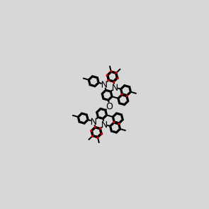 Cc1ccc(N(c2ccc(C)cc2)c2ccc(Oc3ccc(N(c4ccc(C)cc4)c4ccc(C)cc4)c(N(c4ccc(C)cc4)c4ccc(C)cc4)c3-c3ccccc3)c(-c3ccccc3)c2N(c2ccc(C)cc2)c2ccc(C)cc2)cc1